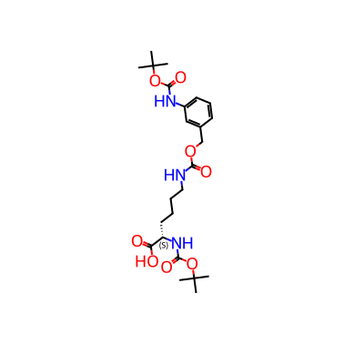 CC(C)(C)OC(=O)Nc1cccc(COC(=O)NCCCC[C@H](NC(=O)OC(C)(C)C)C(=O)O)c1